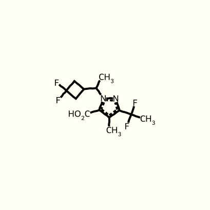 Cc1c(C(C)(F)F)nn(C(C)C2CC(F)(F)C2)c1C(=O)O